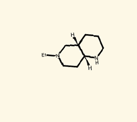 CCN1CC[C@H]2NCCC[C@H]2C1